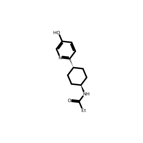 CCC(=O)N[C@H]1CC[C@H](c2ccc(O)cn2)CC1